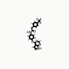 O=C(Cc1ccc(C(F)(F)F)cc1)Nc1ccc(Oc2ncnc3[nH]ccc23)cc1